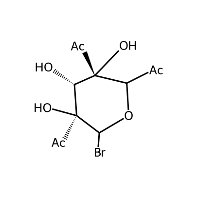 CC(=O)C1OC(Br)[C@](O)(C(C)=O)[C@H](O)[C@@]1(O)C(C)=O